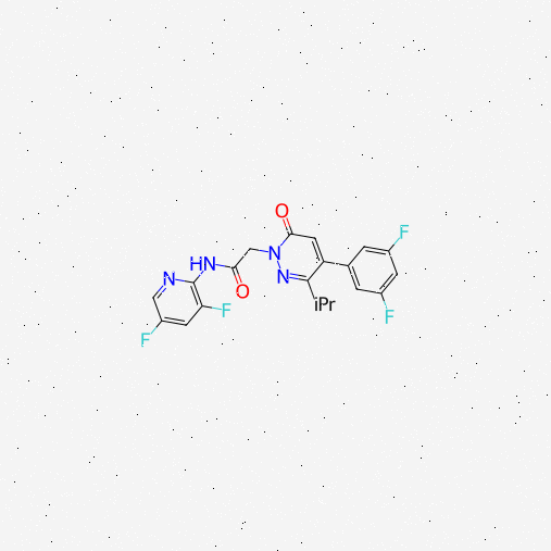 CC(C)c1nn(CC(=O)Nc2ncc(F)cc2F)c(=O)cc1-c1cc(F)cc(F)c1